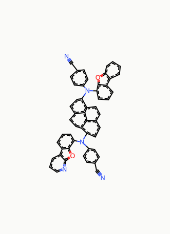 N#Cc1ccc(N(c2ccc3ccc4c(N(c5ccc(C#N)cc5)c5cccc6c5oc5ncccc56)ccc5ccc2c3c54)c2cccc3c2oc2ccccc23)cc1